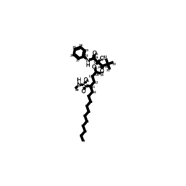 CCCCCCCCCCCC(CCC(C)OC(Cl)(C(=O)Nc1ccccc1)C(=O)C(C)(C)C)S(=O)(=O)NC